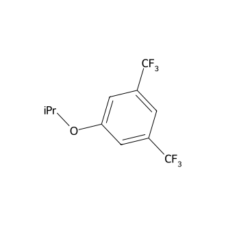 CC(C)Oc1cc(C(F)(F)F)cc(C(F)(F)F)c1